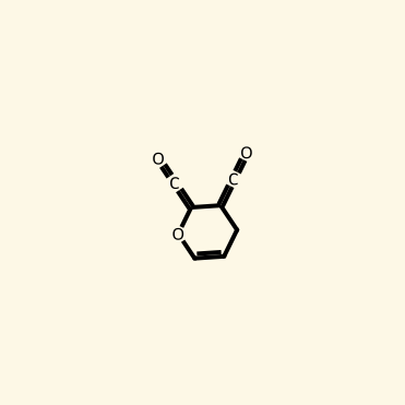 O=C=C1CC=COC1=C=O